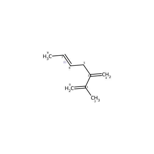 C=C(C)C(=C)C/C=C/C